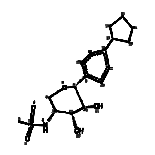 CS(=O)(=O)N[C@@H]1CO[C@H](c2ccc(C3CCCC3)cc2)[C@H](O)[C@@H]1O